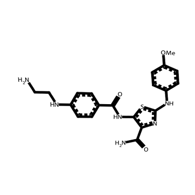 COc1ccc(Nc2nc(C(N)=O)c(NC(=O)c3ccc(NCCN)cc3)s2)cc1